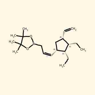 C=C[C@H]1C[C@@H](/C=C\CB2OC(C)(C)C(C)(C)O2)[C@@H](CC)[C@H]1CC